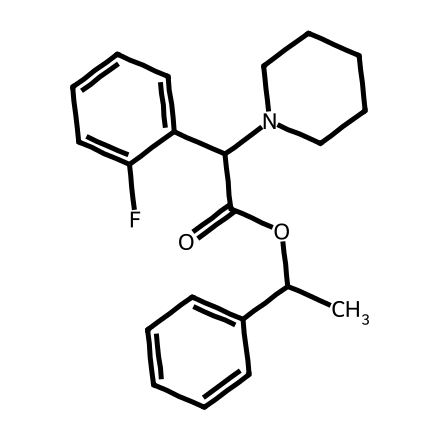 CC(OC(=O)C(c1ccccc1F)N1CCCCC1)c1ccccc1